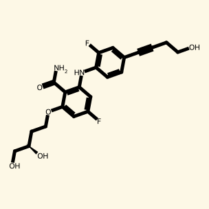 NC(=O)c1c(Nc2ccc(C#CCCO)cc2F)cc(F)cc1OCC[C@@H](O)CO